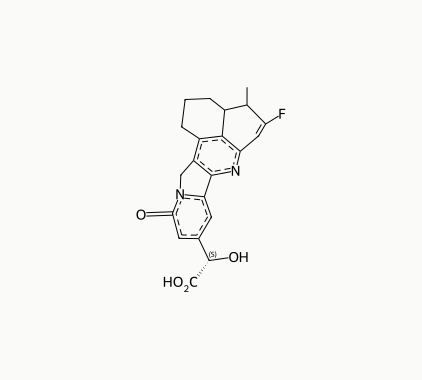 CC1C(F)=Cc2nc3c(c4c2C1CCC4)Cn1c-3cc([C@H](O)C(=O)O)cc1=O